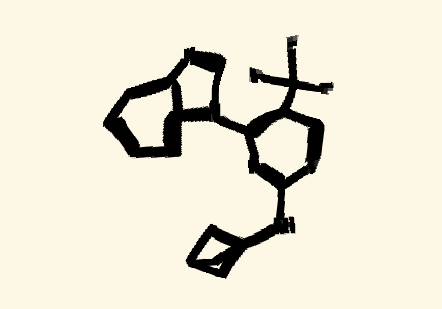 FC(F)(F)c1cnc(NC23CC(C2)C3)nc1-n1cnc2ccccc21